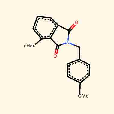 CCCCCCc1cccc2c1C(=O)N(Cc1ccc(OC)cc1)C2=O